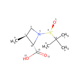 C[C@H]1CN([S@@+]([O-])C(C)(C)C)[C@@H]1C(=O)O